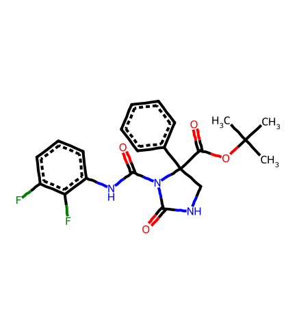 CC(C)(C)OC(=O)C1(c2ccccc2)CNC(=O)N1C(=O)Nc1cccc(F)c1F